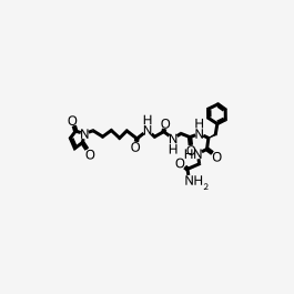 NC(=O)CNC(=O)[C@H](Cc1ccccc1)NC(=O)CNC(=O)CNC(=O)CCCCCN1C(=O)C=CC1=O